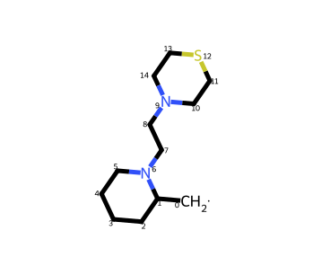 [CH2]C1CCCCN1CCN1CCSCC1